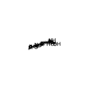 Cc1cccc(/C=C/c2nc(COc3ccc(CCCCc4c[nH]c(CC(O)CO)n4)cc3)co2)c1